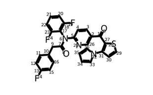 O=C(c1ccc(N(C(=O)Cc2ccc(F)cc2)c2c(F)cccc2F)nc1)c1sccc1-n1cccc1